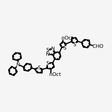 CCCCCCCCc1cc(-c2ccc(-c3cc(CCCCCCCC)c(-c4ccc(-c5ccc(N(c6ccccc6)c6ccccc6)cc5)s4)s3)c3nsnc23)sc1-c1ccc(-c2ccc(C=O)cc2)s1